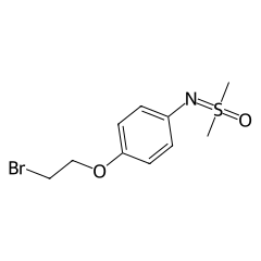 CS(C)(=O)=Nc1ccc(OCCBr)cc1